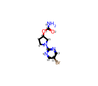 NC(=O)OC1CCN(c2ncc(Br)cn2)C1